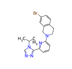 CC(C)n1cnnc1-c1cccc(N2CCc3ccc(Br)cc3C2)n1